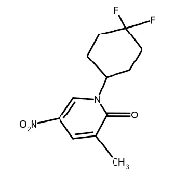 Cc1cc([N+](=O)[O-])cn(C2CCC(F)(F)CC2)c1=O